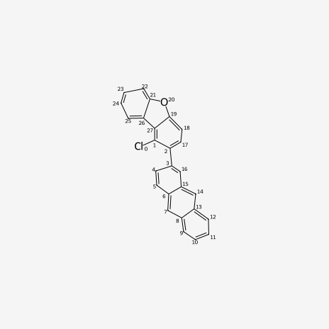 Clc1c(-c2ccc3cc4ccccc4cc3c2)ccc2oc3ccccc3c12